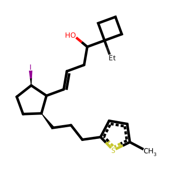 CCC1(C(O)C/C=C/C2[C@@H](CCCc3ccc(C)s3)CC[C@H]2I)CCC1